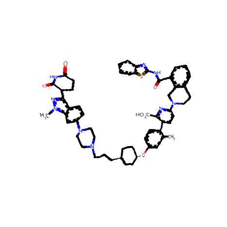 Cc1cc(O[C@H]2CC[C@H](CCCN3CCN(c4ccc5c(C6CCC(=O)NC6=O)nn(C)c5c4)CC3)CC2)ccc1-c1ccc(N2CCc3cccc(C(=O)Nc4nc5ccccc5s4)c3C2)nc1C(=O)O